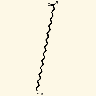 CCCCCCCCCCCCCCCCC=CCCCCCCCC(=O)O